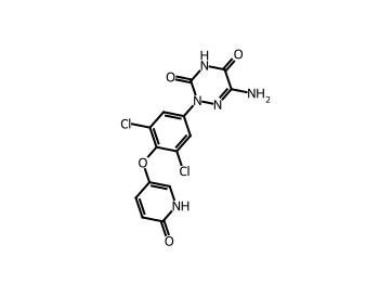 Nc1nn(-c2cc(Cl)c(Oc3ccc(=O)[nH]c3)c(Cl)c2)c(=O)[nH]c1=O